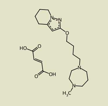 CN1CCCN(CCCCOc2cc3n(n2)CCCC3)CC1.O=C(O)C=CC(=O)O